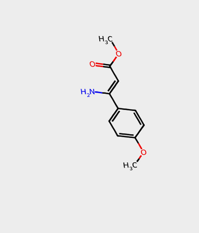 COC(=O)C=C(N)c1ccc(OC)cc1